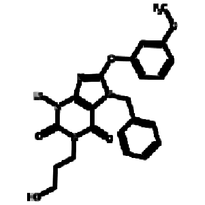 CCn1c(=O)n(CCCO)c(=O)c2c1nc(Oc1cccc(OC(F)(F)F)c1)n2Cc1ccccc1